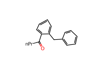 CCCC(=O)c1ccccc1Cc1ccccc1